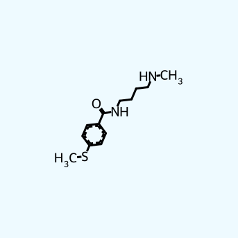 CNCCCCNC(=O)c1ccc(SC)cc1